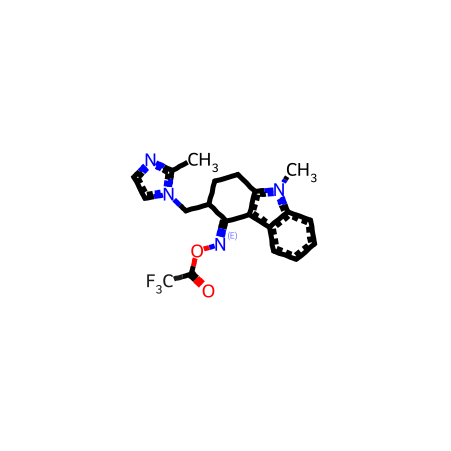 Cc1nccn1CC1CCc2c(c3ccccc3n2C)/C1=N/OC(=O)C(F)(F)F